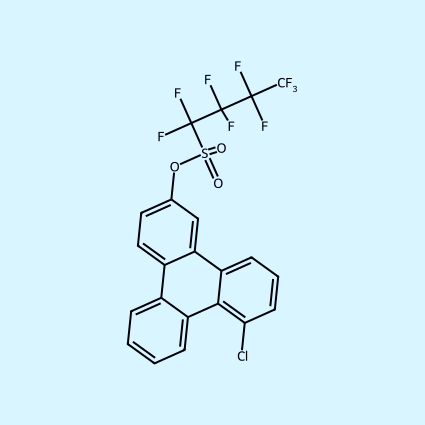 O=S(=O)(Oc1ccc2c3ccccc3c3c(Cl)cccc3c2c1)C(F)(F)C(F)(F)C(F)(F)C(F)(F)F